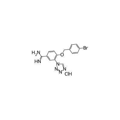 Cl.N=C(N)c1ccc(OCc2ccc(Br)cc2)c(-n2cnnn2)c1